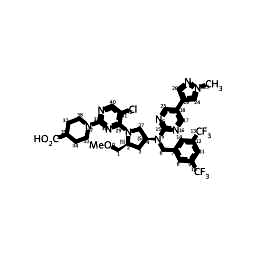 COC[C@@H]1C[C@H](N(Cc2cc(C(F)(F)F)cc(C(F)(F)F)c2)c2ncc(-c3cnn(C)c3)cn2)CN1c1nc(N2CCC(C(=O)O)CC2)ncc1Cl